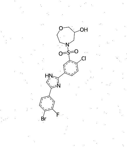 O=S(=O)(c1cc(-c2nc(-c3ccc(Br)c(F)c3)c[nH]2)ccc1Cl)N1CCOCC(O)C1